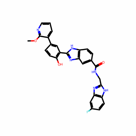 COc1ncccc1-c1ccc(O)c(-c2nc3cc(C(=O)NCc4nc5cc(F)ccc5[nH]4)ccc3[nH]2)c1